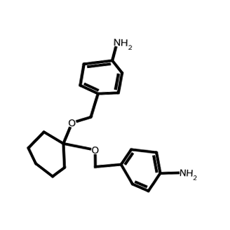 Nc1ccc(COC2(OCc3ccc(N)cc3)CCCCC2)cc1